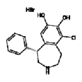 Br.Oc1cc2c(c(Cl)c1O)CCNC[C@@H]2c1ccccc1